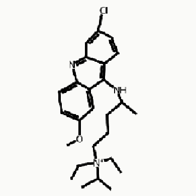 CC[N+](CC)(CCCC(C)Nc1c2ccc(Cl)cc2nc2ccc(OC)cc12)C(C)C